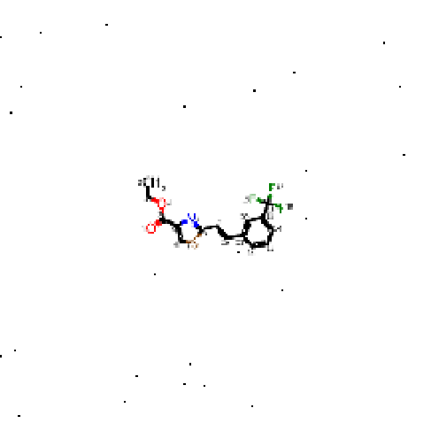 CCOC(=O)c1csc(/C=C/c2cccc(C(F)(F)F)c2)n1